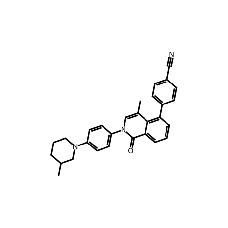 Cc1cn(-c2ccc(N3CCCC(C)C3)cc2)c(=O)c2cccc(-c3ccc(C#N)cc3)c12